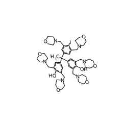 CC(c1cc(CN2CCOCC2)c(O)c(CN2CCOCC2)c1)(c1cc(CN2CCOCC2)c(O)c(CN2CCOCC2)c1)c1cc(CN2CCOCC2)c(I)c(CN2CCOCC2)c1